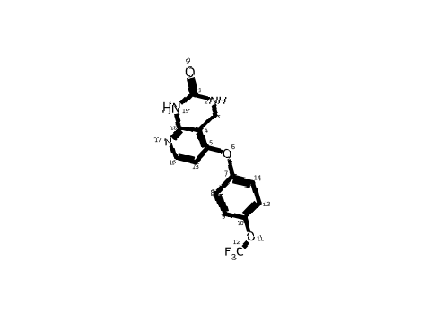 O=C1NCc2c(Oc3ccc(OC(F)(F)F)cc3)ccnc2N1